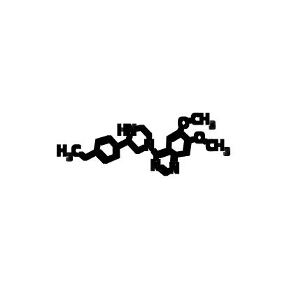 CCc1ccc(C2CN(c3ncnc4cc(OC)c(OC)cc34)CCN2)cc1